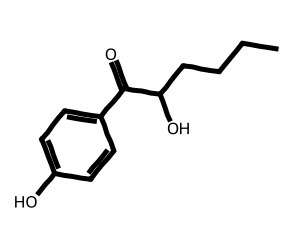 CCCCC(O)C(=O)c1ccc(O)cc1